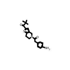 CC(C)(C)C(=O)c1cc2c(s1)CCN(C(=O)Cc1ccc(N)cc1)C2